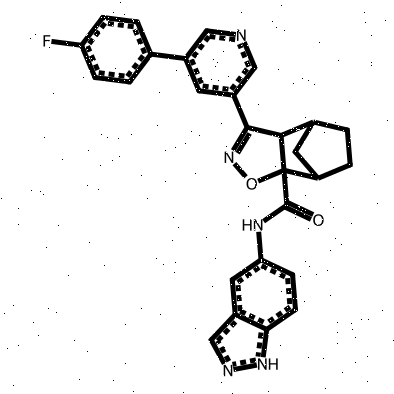 O=C(Nc1ccc2[nH]ncc2c1)C12ON=C(c3cncc(-c4ccc(F)cc4)c3)C1C1CCC2C1